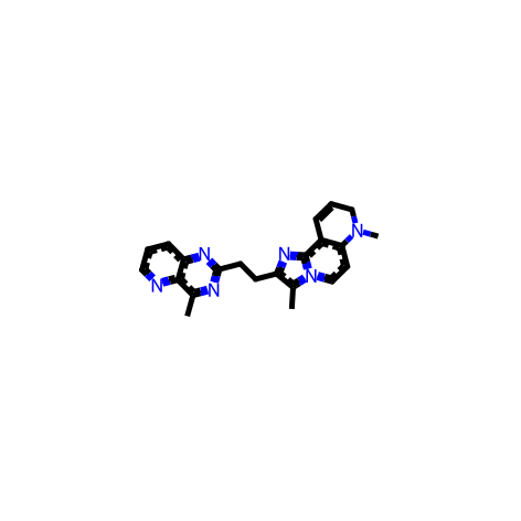 Cc1nc(CCc2nc3c4c(ccn3c2C)N(C)CC=C4)nc2cccnc12